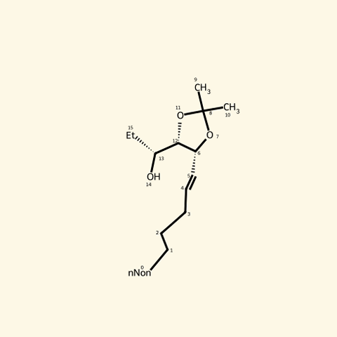 CCCCCCCCCCCCC=C[C@H]1OC(C)(C)O[C@H]1[C@H](O)CC